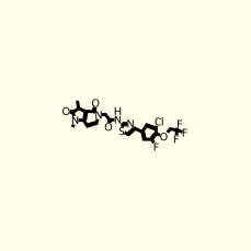 CC1C(=O)N(C)c2ccn(CC(=O)Nc3nc(-c4cc(F)c(OCC(F)(F)F)c(Cl)c4)cs3)c(=O)c21